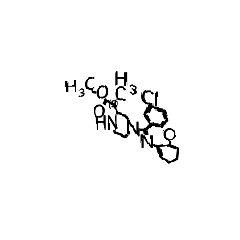 CCOC(=O)[C@@H](C)C1CN(C2=NC3=CCCC=C3Oc3ccc(Cl)cc32)CCN1